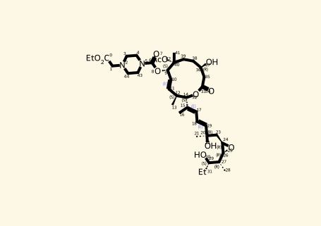 CCOC(=O)CN1CCN(C(=O)O[C@H]2/C=C/[C@H](C)[C@@H](/C(C)=C/C=C/[C@](C)(O)C[C@H]3O[C@@H]3[C@H](C)[C@@H](O)CC)OC(=O)C[C@H](O)CC[C@@]2(C)OC(C)=O)CC1